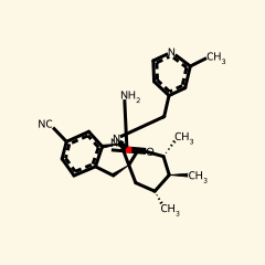 Cc1cc(CN2C(=O)[C@]3(N=C2N)c2cc(C#N)ccc2C[C@@]32C[C@@H](C)[C@H](C)[C@@H](C)C2)ccn1